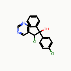 OC(c1ccccc1)(c1ccc(Cl)cc1)C(Cl)c1cncnc1